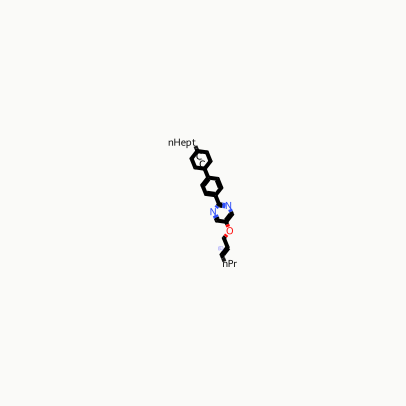 CCC/C=C/COc1cnc(-c2ccc(C34CCC(CCCCCCC)(CC3)CC4)cc2)nc1